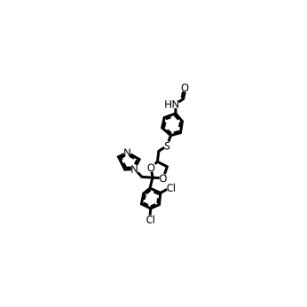 O=CNc1ccc(SCC2COC(Cn3ccnc3)(c3ccc(Cl)cc3Cl)O2)cc1